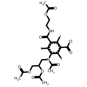 CC(=O)OCCNC(=O)c1c(I)c(C(=O)Cl)c(I)c(N(CC(COC(C)=O)OC(C)=O)C(C)=O)c1I